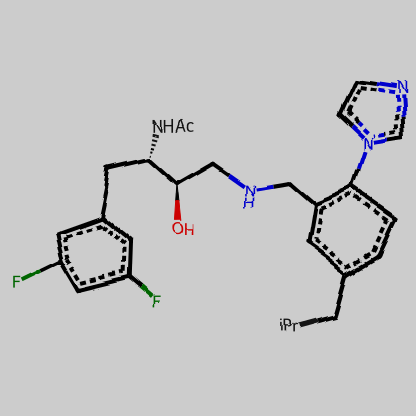 CC(=O)N[C@@H](Cc1cc(F)cc(F)c1)[C@H](O)CNCc1cc(CC(C)C)ccc1-n1ccnc1